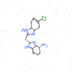 Nc1cccc2[nH]c(Cc3nc4cc(Cl)ccc4[nH]3)nc12